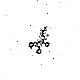 Cc1cccc(CC(NC(=O)c2ccccn2)C(=O)NC(C(=O)N[C@H](C(=O)C(F)(F)C(=O)NCC(F)(F)F)C(C)C)c2ccccc2)c1